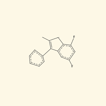 CC1=C(c2ccccc2)c2cc(F)cc(F)c2[CH]1